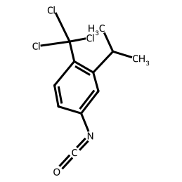 CC(C)c1cc(N=C=O)ccc1C(Cl)(Cl)Cl